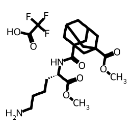 COC(=O)[C@H](CCCCN)NC(=O)C12CC3CC(C1)CC(C(=O)OC)(C3)C2.O=C(O)C(F)(F)F